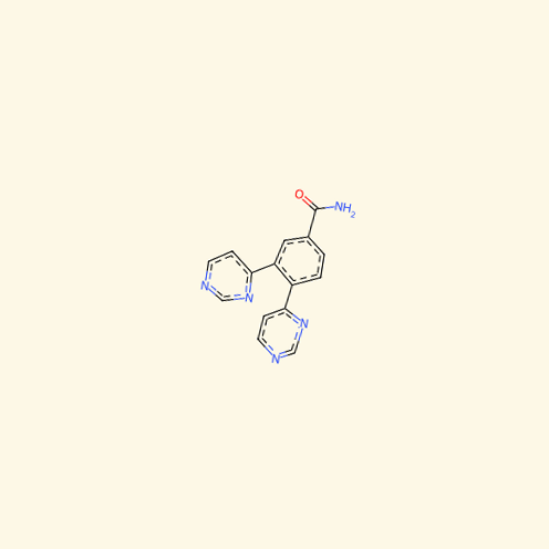 NC(=O)c1ccc(-c2ccncn2)c(-c2ccncn2)c1